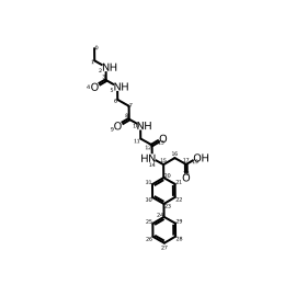 CCNC(=O)NCCC(=O)NCC(=O)NC(CC(=O)O)c1ccc(-c2ccccc2)cc1